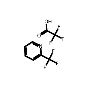 FC(F)(F)c1ccccn1.O=C(O)C(F)(F)F